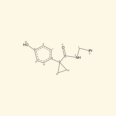 CC(C)CNC(=O)C1(c2ccc(O)cc2)CC1